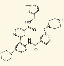 Cc1cccc(CNC(=O)c2ccnc(-c3cc(N4CCCCC4)ccc3NC(=O)c3cccc(CN4CCNCC4)c3)c2)c1